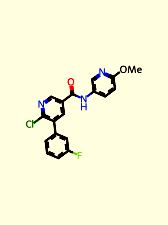 COc1ccc(NC(=O)c2cnc(Cl)c(-c3cccc(F)c3)c2)cn1